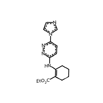 CCOC(=O)C1=C(Nc2ccc(-n3ccnc3)nn2)CCCC1